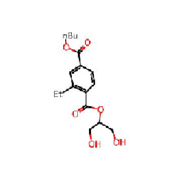 CCCCOC(=O)c1ccc(C(=O)OC(CO)CO)c(CC)c1